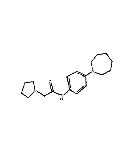 O=C(CN1CCCC1)Nc1ccc(N2CCCCCC2)cc1